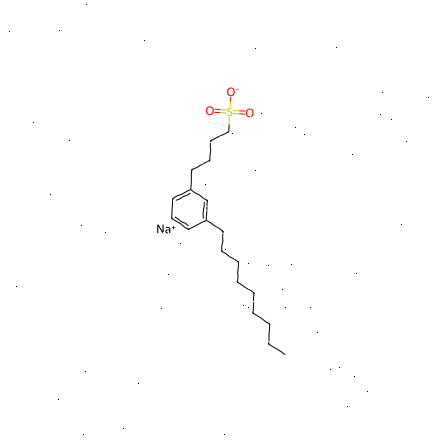 CCCCCCCCCc1cccc(CCCCS(=O)(=O)[O-])c1.[Na+]